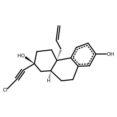 C=CC[C@@]12CC[C@@](O)(C#CCl)C[C@@H]1CCc1cc(O)ccc12